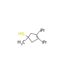 CC(C)C1=C(C(C)C)CC(C)(S)C1